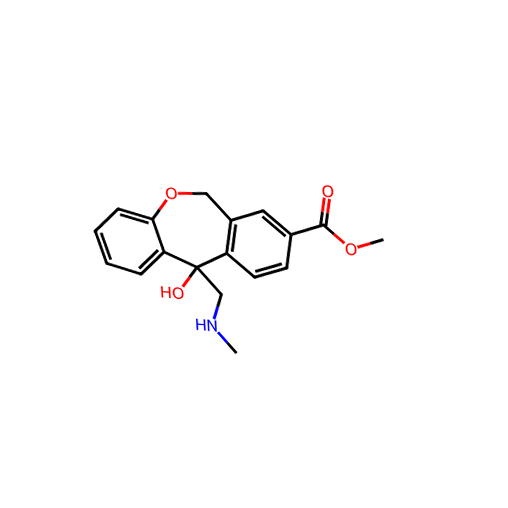 CNCC1(O)c2ccc(C(=O)OC)cc2COc2ccccc21